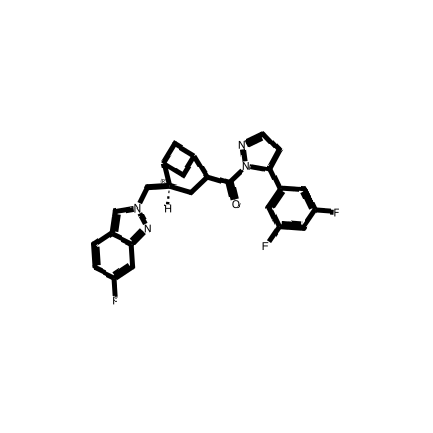 O=C(C1C[C@@H](Cn2cc3ccc(F)cc3n2)C2CC1C2)N1N=CCC1c1cc(F)cc(F)c1